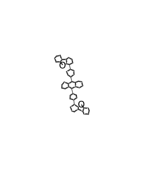 c1ccc2c(c1)oc1c(-c3ccc(-c4c5ccccc5c(-c5ccc(-c6cccc7c6oc6ccccc67)cc5)c5ccccc45)cc3)cccc12